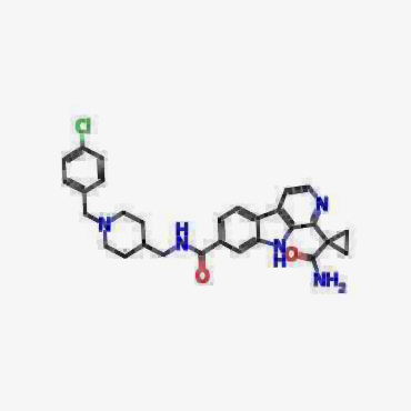 NC(=O)C1(c2nccc3c2[nH]c2cc(C(=O)NCC4CCN(Cc5ccc(Cl)cc5)CC4)ccc23)CC1